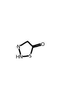 O=C1C[N]NS1